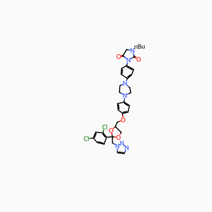 CCCCN1CC(=O)N(c2ccc(N3CCN(c4ccc(OCC5COC(Cn6ccnn6)(c6ccc(Cl)cc6Cl)O5)cc4)CC3)cc2)C1=O